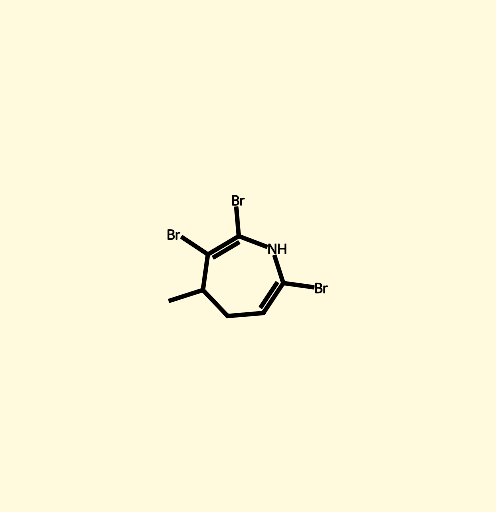 CC1CC=C(Br)NC(Br)=C1Br